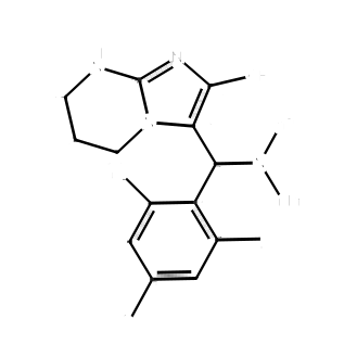 CCCN(CCC)C(c1c(C)cc(C)cc1Cl)c1c(C(F)(F)F)nc2n1CCCN2